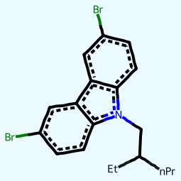 CCCC(CC)Cn1c2ccc(Br)cc2c2cc(Br)ccc21